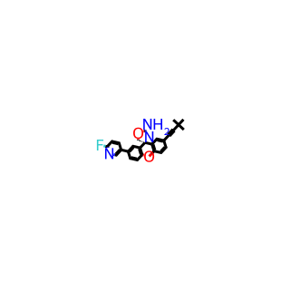 CC(C)(C)C#Cc1ccc2c(c1)[C@@]1(COC(N)=N1)c1cc(-c3ccc(F)nc3)ccc1O2